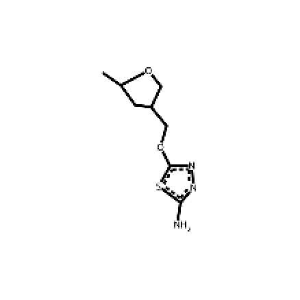 CC1CC(COc2nnc(N)s2)CO1